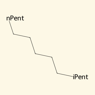 C[CH]CC(C)CCCCCCCCCC